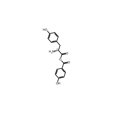 N[C@@H](Cc1ccc(O)cc1)C(=O)OC(=O)c1ccc(O)cc1